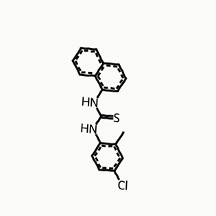 Cc1cc(Cl)ccc1NC(=S)Nc1cccc2ccccc12